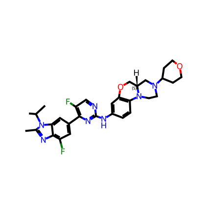 Cc1nc2c(F)cc(-c3nc(Nc4ccc5c(c4)OC[C@@H]4CN(C6CCOCC6)CCN54)ncc3F)cc2n1C(C)C